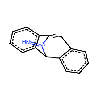 N=[N+]1CC2Cc3ccccc3C1c1ccccc12